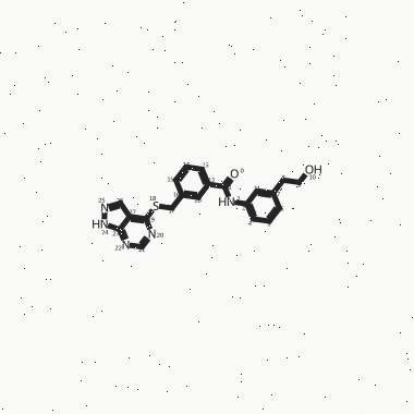 O=C(Nc1cccc(CCO)c1)c1cccc(CSc2ncnc3[nH]ncc23)c1